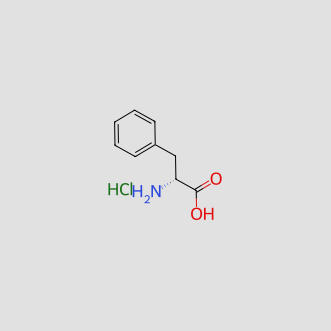 Cl.N[C@H](Cc1ccccc1)C(=O)O